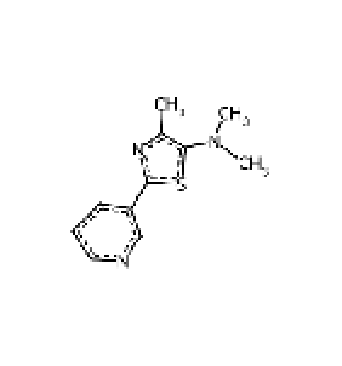 Cc1nc(-c2cccnc2)sc1N(C)C